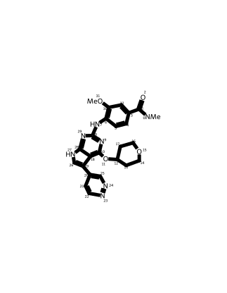 CNC(=O)c1ccc(Nc2nc(OC3CCOCC3)c3c(-c4ccnnc4)c[nH]c3n2)c(OC)c1